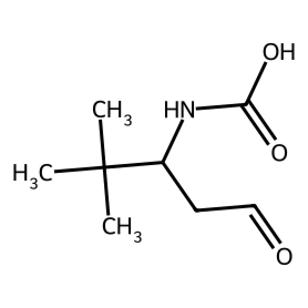 CC(C)(C)C(CC=O)NC(=O)O